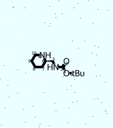 CC(C)(C)OC(=O)NC[C@H]1CCCCN1